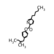 CCCCCc1ccc(C(=O)Oc2ccc(C[C@@H](C)CC)cc2)nc1